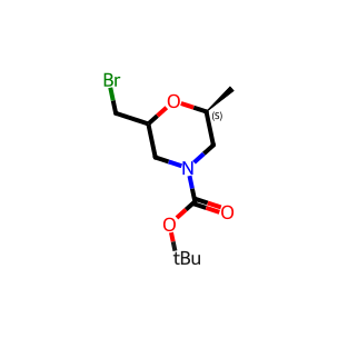 C[C@H]1CN(C(=O)OC(C)(C)C)CC(CBr)O1